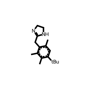 Cc1cc(C(C)(C)C)c(C)c(C)c1CC1=NCCN1